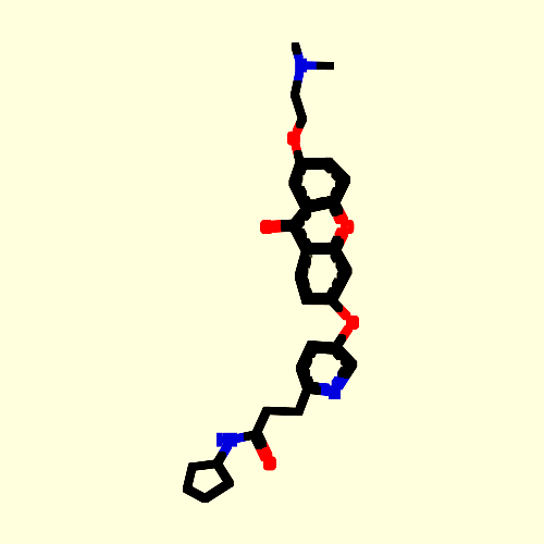 CN(C)CCOc1ccc2oc3cc(Oc4ccc(CCC(=O)NC5CCCC5)nc4)ccc3c(=O)c2c1